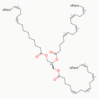 CCCCC/C=C\C/C=C\C/C=C\C/C=C\CCCC(=O)OC[C@@H](COC(=O)CCCCCCC/C=C\C/C=C\CCCCC)OC(=O)CCC/C=C\C/C=C\C/C=C\C/C=C\CCCCC